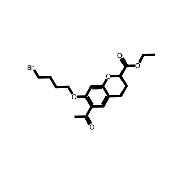 CCOC(=O)C1CCc2cc(C(C)=O)c(OCCCCBr)cc2O1